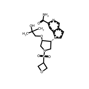 CC(C)(O)CO[C@@H]1CN(S(=O)(=O)C2COC2)C[C@H]1n1ccc2cnc(C(N)=O)cc21